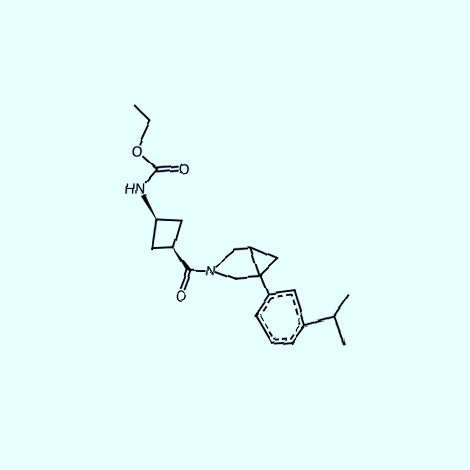 CCOC(=O)N[C@H]1C[C@@H](C(=O)N2CC3CC3(c3cccc(C(C)C)c3)C2)C1